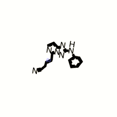 N#CC/C=C/c1nccc2nc(Nc3ccccc3)nn12